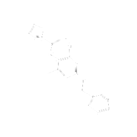 Nc1nc(CCc2ccccc2)nc(O)c1NC(=O)c1ccco1